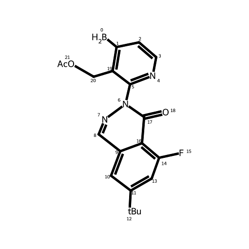 Bc1ccnc(-n2ncc3cc(C(C)(C)C)cc(F)c3c2=O)c1COC(C)=O